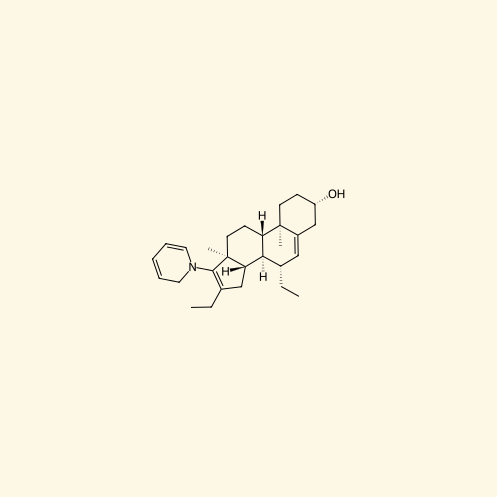 CCC1=C(N2C=CC=CC2)[C@@]2(C)CC[C@H]3[C@@H]([C@@H](CC)C=C4C[C@@H](O)CC[C@@]43C)[C@@H]2C1